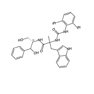 CC(C)c1cccc(C(C)C)c1NC(=O)NC(C)(Cc1c[nH]c2ccccc12)C(=O)N[C@@H](CO)C(O)c1ccccc1